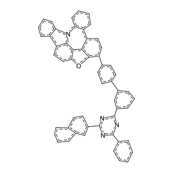 c1ccc(-c2nc(-c3cccc(-c4ccc(-c5ccc6c7ccccc7n7c8ccccc8c8ccc9oc5c6c9c87)cc4)c3)nc(-c3ccc4ccccc4c3)n2)cc1